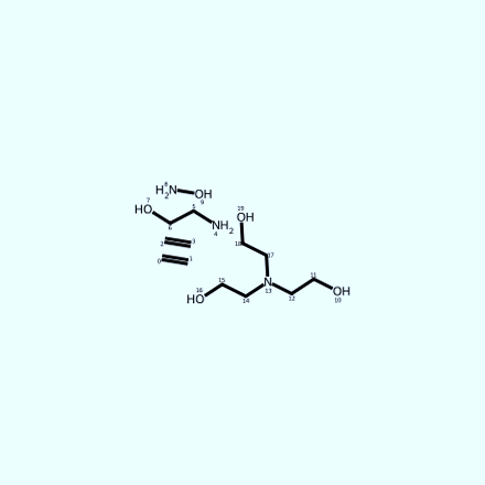 C=C.C=C.NCCO.NO.OCCN(CCO)CCO